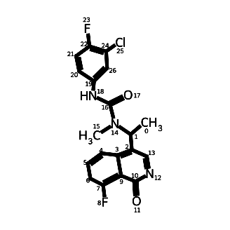 CC(C1=C2C=CCC(F)=C2C(=O)N=C1)N(C)C(=O)Nc1ccc(F)c(Cl)c1